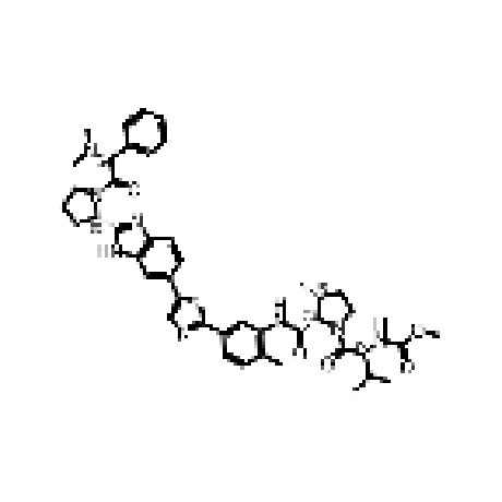 COC(=O)N[C@H](C(=O)N1CC[C@@H](C)[C@H]1C(=O)Nc1cc(-c2ncc(-c3ccc4nc([C@@H]5CCCN5C(=O)[C@@H](c5ccccc5)N(C)C)[nH]c4c3)o2)ccc1C)C(C)C